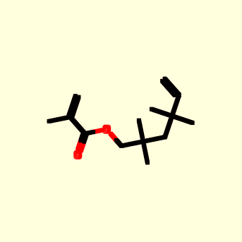 C=CC(C)(C)CC(C)(C)COC(=O)C(=C)C